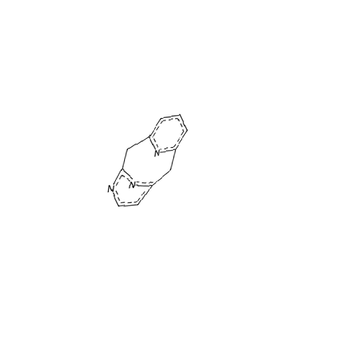 c1cc2nc(c1)Cc1nccc(n1)C2